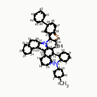 Cc1ccc(Nc2ccccc2-c2c3c4c(c5ccccc25)c2c5ccccc5ccc2n4-c2c(sc4ccc(-c5ccccc5)cc24)B3)cc1